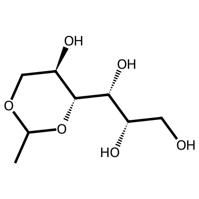 CC1OC[C@@H](O)[C@H]([C@H](O)[C@@H](O)CO)O1